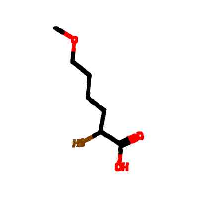 COCCCCC(S)C(=O)O